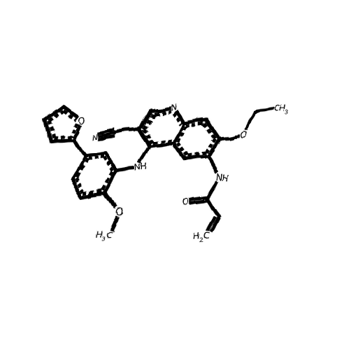 C=CC(=O)Nc1cc2c(Nc3cc(-c4ccco4)ccc3OC)c(C#N)cnc2cc1OCC